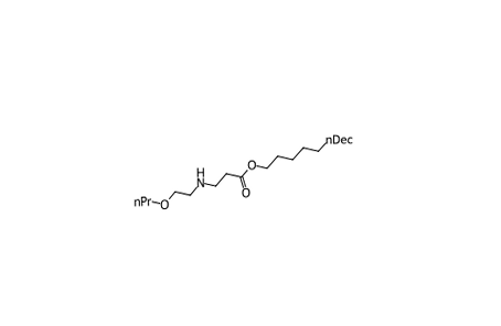 CCCCCCCCCCCCCCCOC(=O)CCNCCOCCC